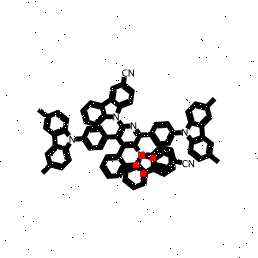 Cc1ccc2c(c1)c1cc(C)ccc1n2-c1ccc(-c2nc(-n3c4ccccc4c4cc(C#N)ccc43)c(-c3ccc(-n4c5ccc(C)cc5c5cc(C)ccc54)cc3)c(-c3ccccc3-c3nc4ccccc4s3)c2-n2c3ccccc3c3cc(C#N)ccc32)cc1